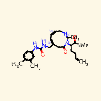 C=CCCC(C(=O)NC)N1C(=O)C/C(CNC(=O)Nc2ccc(C)c(C)c2)=C\C=C/C/N=C\1C